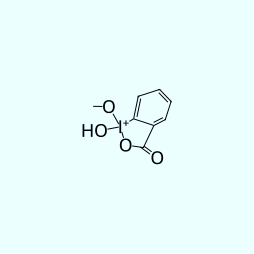 CO[I+]1(O)OC(=O)c2ccccc21